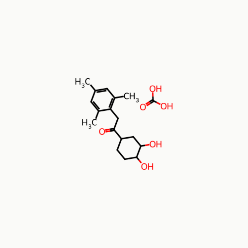 Cc1cc(C)c(CC(=O)C2CCC(O)C(O)C2)c(C)c1.O=C(O)O